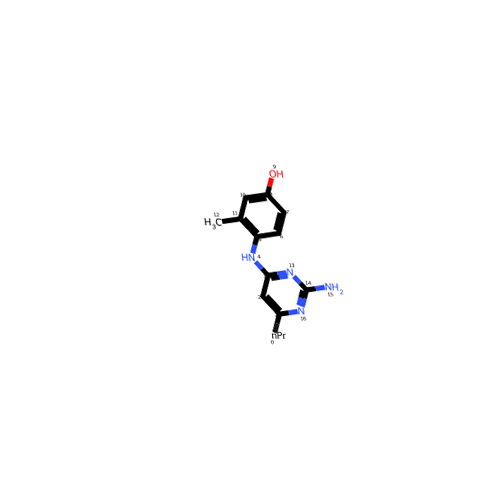 CCCc1cc(Nc2ccc(O)cc2C)nc(N)n1